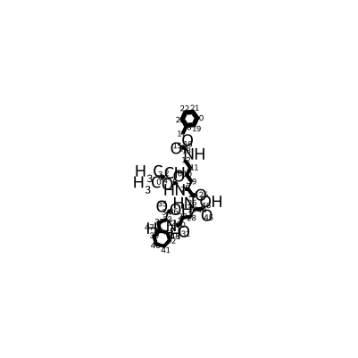 CC(C)(C)OC(=O)N[C@@H](CCCCNC(=O)OCc1ccccc1)C(=O)N[C@H](CCC(=O)N1[C@H](C(=O)O)C[C@@H]2CCCC[C@@H]21)C(=O)O